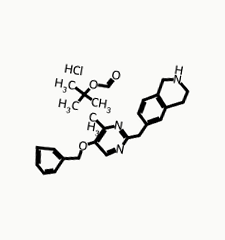 CC(C)(C)OC=O.Cc1nc(Cc2ccc3c(c2)CCNC3)ncc1OCc1ccccc1.Cl